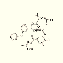 CC1(C)[C@H](C(=O)OC(C#N)c2cccc(Oc3ccccc3)c2)[C@@H]1C=C(Cl)Cl.CS/C(C)=N\OC(=O)N(C)SN(C)C(=O)O/N=C(/C)SC